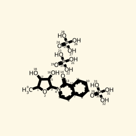 CC1OC(n2ccc3ccccc3c2=O)C(O)C1O.O=P(O)(O)O.O=P(O)(O)O.O=P(O)(O)O